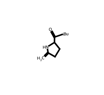 C=C1CCC(C(=O)C(C)CC)N1